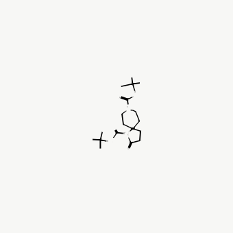 CC(C)(C)OC(=O)N1CCC2(CCC(=O)N2C(=O)OC(C)(C)C)CC1